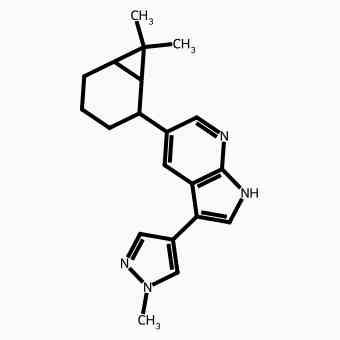 Cn1cc(-c2c[nH]c3ncc(C4CCCC5C4C5(C)C)cc23)cn1